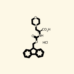 Cl.O=C(N[C@@H](CN1CCOCC1)C(=O)O)OCC1c2ccccc2-c2ccccc21